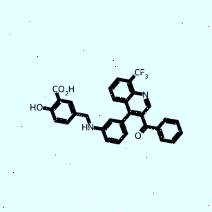 O=C(O)c1cc(CNc2cccc(-c3c(C(=O)c4ccccc4)cnc4c(C(F)(F)F)cccc34)c2)ccc1O